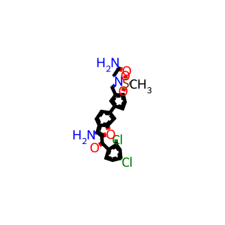 CS(=O)(=O)N(CC(N)=O)Cc1cccc(-c2ccc3c(N)c(C(=O)c4ccc(Cl)cc4Cl)oc3c2)c1